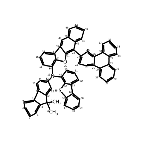 CC1(C)c2ccccc2-c2ccc(N(c3cccc4c3oc3c(-c5ccc6c7ccccc7c7ccccc7c6c5)c5ccccc5cc34)c3cccc4c3sc3ccccc34)cc21